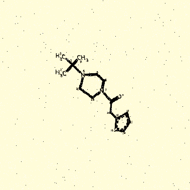 CC(C)(C)N1CCN(C(=O)Cc2cccs2)CC1